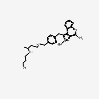 CCCCn1nc2c(N)nc3ccccc3c2c1Cc1ccc(CNCCC(C)PCCCC(C)C)cc1